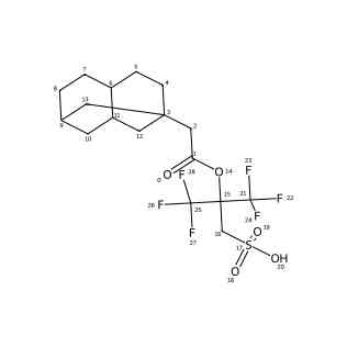 O=C(CC12CCC3CCC(CC3C1)C2)OC(CS(=O)(=O)O)(C(F)(F)F)C(F)(F)F